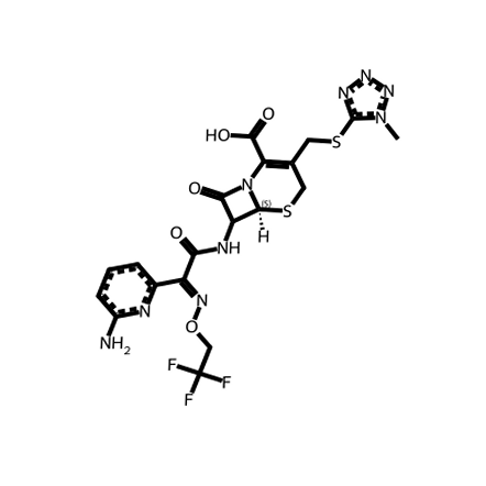 Cn1nnnc1SCC1=C(C(=O)O)N2C(=O)C(NC(=O)C(=NOCC(F)(F)F)c3cccc(N)n3)[C@@H]2SC1